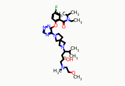 CCN(C(=O)c1cc(F)ccc1Oc1nncnc1N1CCC2(C1)CN(C(C[C@H](O)CN(C)CCOC)C(C)C)C2)C(C)C